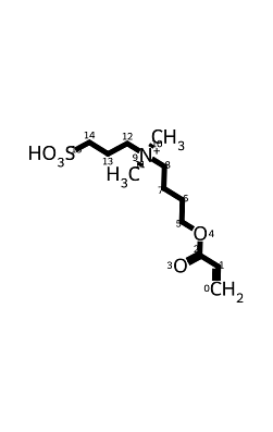 C=CC(=O)OCCCC[N+](C)(C)CCCS(=O)(=O)O